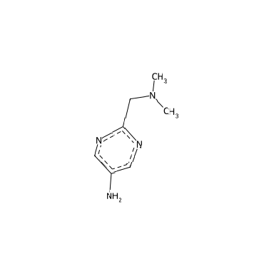 CN(C)Cc1ncc(N)cn1